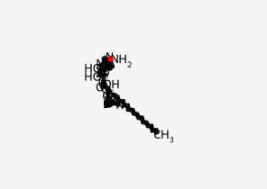 CCCCCCCCCCCCCCCCCCOC[C@H](COP(=O)(O)OC[C@H]1O[C@@](C#N)(c2ccc3c(N)ncnn23)[C@H](O)[C@@H]1O)Oc1cccc(C#N)n1